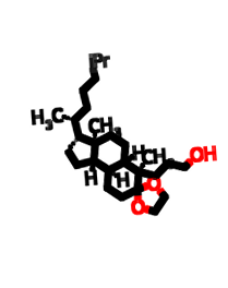 CC(C)CCC[C@@H](C)[C@H]1CC[C@H]2[C@@H]3CCC4(OCCO4)[C@](C)(CCCO)[C@H]3CC[C@]12C